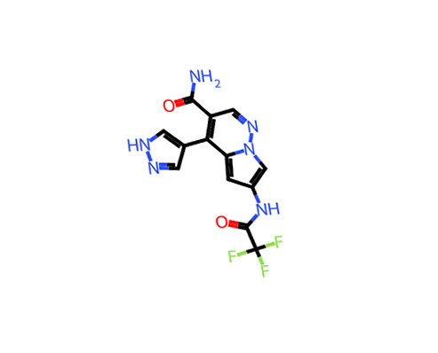 NC(=O)c1cnn2cc(NC(=O)C(F)(F)F)cc2c1-c1cn[nH]c1